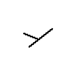 CCCCCCCCCCCCCC[C](CCCCCCCCC)CCCCCCCCCCCC